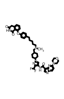 CN(CCCCCc1ccc(Oc2cccc3c2C(=O)NC(=O)C3)cc1)CC1CCC(n2cc(NC(=O)c3cnn4ccc(N5CCOCC5)nc34)c(C(F)F)n2)CC1